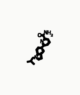 CC(C)Cn1ccc2cc(-c3cccc(C(N)=O)n3)ccc21